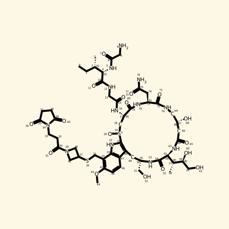 CC[C@H](C)[C@H](NC(=O)CN)C(=O)NCC(=O)N[C@H]1C[S+]([O-])c2[nH]c3c(CSC4CN(C(=O)CCN5C(=O)CCC5=O)C4)c(OC)ccc3c2C[C@@H](CO)NC(=O)[C@H]([C@@H](C)[C@@H](O)CO)NC(=O)C[C@@H](O)CNC(=O)[C@H](CC(N)=O)NC1=O